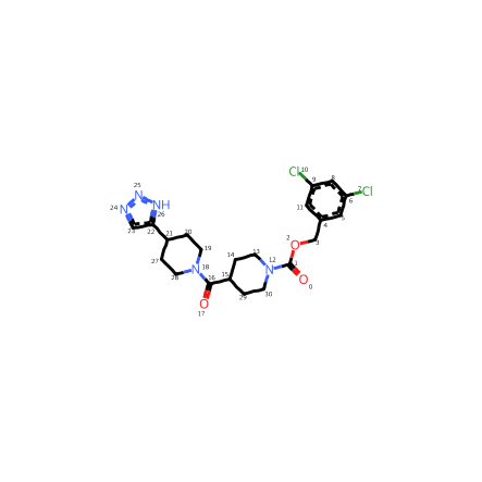 O=C(OCc1cc(Cl)cc(Cl)c1)N1CCC(C(=O)N2CCC(c3cnn[nH]3)CC2)CC1